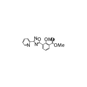 COC(=O)c1cccc(-c2nc(-c3ccccn3)no2)c1OC